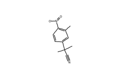 Cc1cc(C(C)(C)C#N)ccc1[N+](=O)[O-]